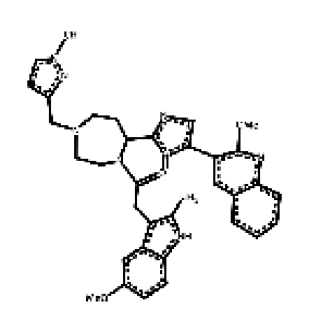 COc1ccc2[nH]c(C)c(CC(=O)N3CCN(Cc4ccn(C)n4)CCC3c3ncc(-c4cc5ccccc5nc4OC)[nH]3)c2c1